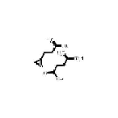 C=C(CCC(CC)CCCC)C(=O)O.C=C(CCC1CO1)C(=O)O